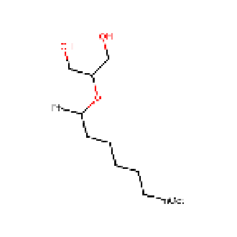 CCCCCCCCCCCCCC(CC)OC(CO)CO